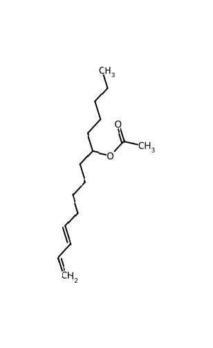 C=CC=CCCCCC(CCCCC)OC(C)=O